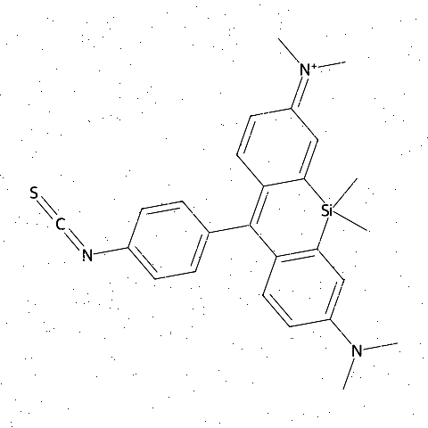 CN(C)c1ccc2c(c1)[Si](C)(C)C1=CC(=[N+](C)C)C=CC1=C2c1ccc(N=C=S)cc1